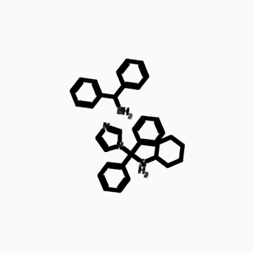 BC(c1ccccc1)c1ccccc1.c1ccc(C([SiH2]C2CCCCC2)(c2ccccc2)n2ccnc2)cc1